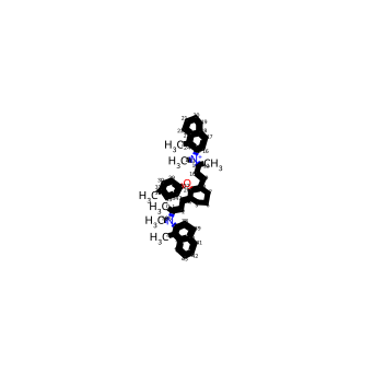 C/C(=C\C=C1/CCCC(/C=C/C(C)=[N+](\C)c2ccc3ccccc3c2C)=C1Oc1ccc(C)cc1)N(C)c1ccc2ccccc2c1C